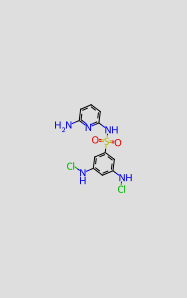 Nc1cccc(NS(=O)(=O)c2cc(NCl)cc(NCl)c2)n1